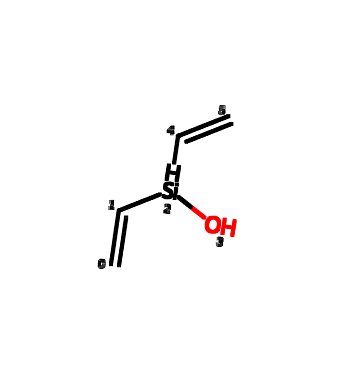 C=C[SiH](O)C=C